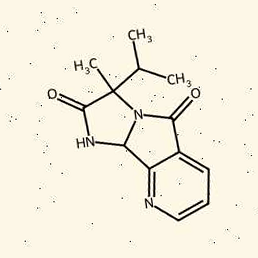 CC(C)C1(C)C(=O)NC2c3ncccc3C(=O)N21